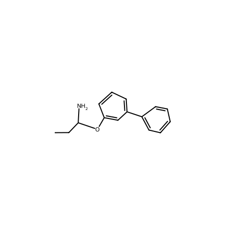 CCC(N)Oc1cccc(-c2ccccc2)c1